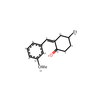 CCC1CCC(=O)/C(=C\c2cccc(OC)c2)C1